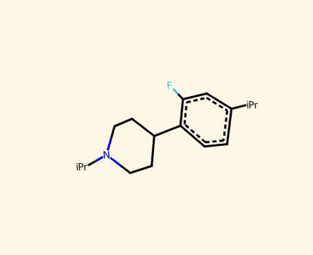 CC(C)c1ccc(C2CCN(C(C)C)CC2)c(F)c1